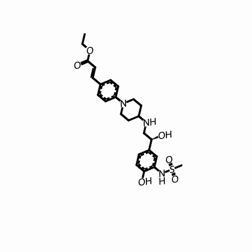 CCOC(=O)/C=C/c1ccc(N2CCC(NC[C@@H](O)c3ccc(O)c(NS(C)(=O)=O)c3)CC2)cc1